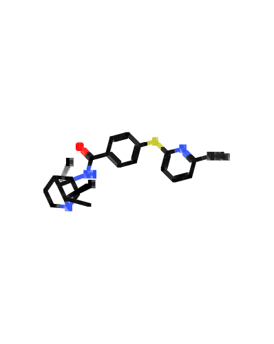 CC(=O)Nc1cccc(Sc2ccc(C(=O)N[C@@H]3C4CCN(CC4)[C@H]3C)cc2)n1